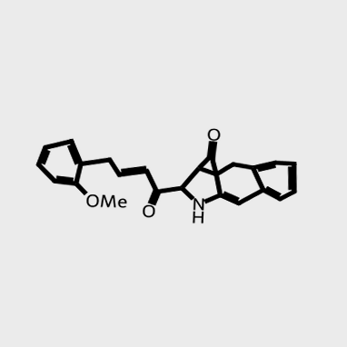 COc1ccccc1C/C=C/C(=O)C1NC2=Cc3ccccc3CC23C(=O)C13